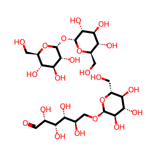 O=C[C@H](O)[C@@H](O)[C@H](O)[C@H](O)CO[C@H]1O[C@H](CO)[C@@H](O)[C@H](O)[C@H]1O.OC[C@H]1O[C@H](O[C@H]2O[C@H](CO)[C@@H](O)[C@H](O)[C@H]2O)[C@H](O)[C@@H](O)[C@@H]1O